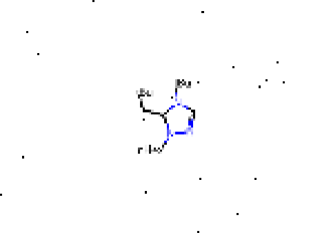 CCCCCCN1N=CN(C(C)(C)C)C1CC(C)(C)C